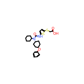 O=C(O)CSc1ccc(NC(=O)N(C2CCCCC2)[C@H]2CC[C@H](Oc3ccccc3)CC2)s1